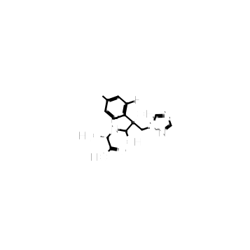 CC(N[C@H](C)C(=O)O)[C@](O)(Cn1cncn1)c1ccc(F)cc1F